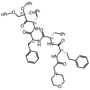 CCCOC[C@@](C)(OCCC)C(=O)[C@H](CC(C)C)NC(=O)[C@H](Cc1ccccc1)NC(=O)[C@H](CC(C)C)NC(=O)[C@H](CCc1ccccc1)NC(=O)CN1CCOCC1